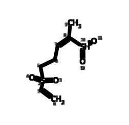 C=CS(=O)(=O)CCC=C(C)[SH](=O)=O